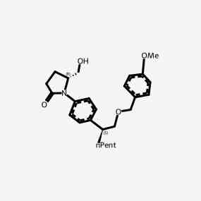 CCCCC[C@H](COCc1ccc(OC)cc1)c1ccc(N2C(=O)CC[C@@H]2CO)cc1